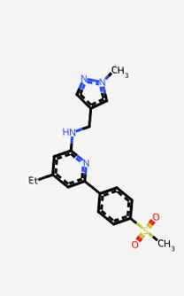 CCc1cc(NCc2cnn(C)c2)nc(-c2ccc(S(C)(=O)=O)cc2)c1